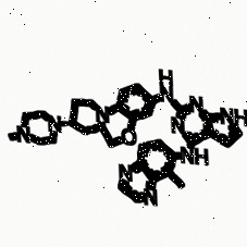 Cc1c(Nc2nc(Nc3ccc4c(c3)OCC3C[C@@H](N5CCN(C)CC5)CCN43)nc3[nH]ccc23)ccc2nccnc12